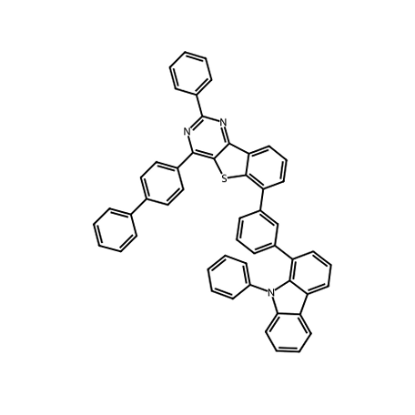 c1ccc(-c2ccc(-c3nc(-c4ccccc4)nc4c3sc3c(-c5cccc(-c6cccc7c8ccccc8n(-c8ccccc8)c67)c5)cccc34)cc2)cc1